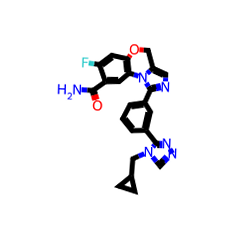 NC(=O)c1cc2c(cc1F)OCc1cnc(-c3cccc(-c4nncn4CC4CC4)c3)n1-2